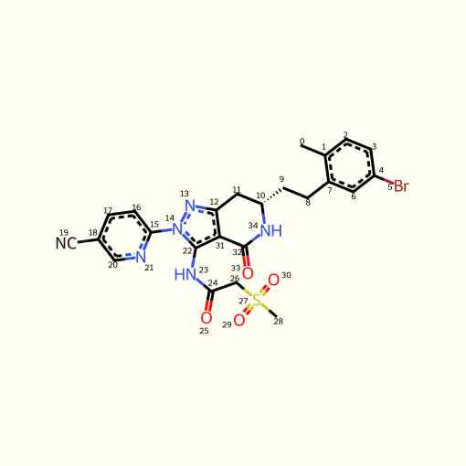 Cc1ccc(Br)cc1CC[C@H]1Cc2nn(-c3ccc(C#N)cn3)c(NC(=O)CS(C)(=O)=O)c2C(=O)N1